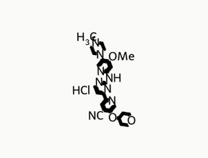 COc1cc(Nc2nccc(-c3cc(C#N)c(OC4CCOCC4)cn3)n2)ncc1N1CCN(C)CC1.Cl